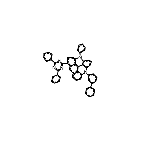 c1ccc(-c2cccc(N(c3ccccc3)c3cccc4c3-c3cccc5c(-c6nc(-c7ccccc7)nc(-c7ccccc7)n6)ccc(c35)N4c3ccccc3)c2)cc1